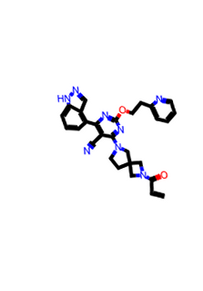 C=CC(=O)N1CC2(CCN(c3nc(OCCc4ccccn4)nc(-c4cccc5[nH]ncc45)c3C#N)C2)C1